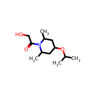 CC(C)OC1CC(C)N(C(=O)CO)C(C)C1